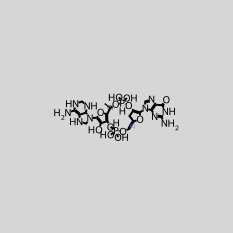 C[C@H]1O[PH](O)(O)OC2=C(n3cnc4c(=O)[nH]c(N)nc43)O/C(=C/O[PH](O)(O)Oc3c1oc(N1CNC4=C(N)NCNC41)c3O)C2